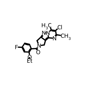 CCOc1cc(F)ccc1C(=O)N1Cc2nn3c(C)c(Cl)c(C)nc3c2C1